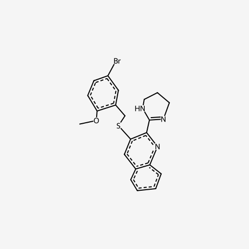 COc1ccc(Br)cc1CSc1cc2ccccc2nc1C1=NCCCN1